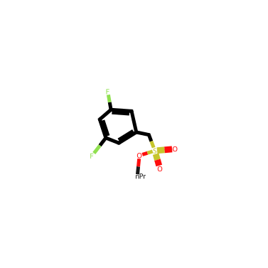 CCCOS(=O)(=O)Cc1cc(F)cc(F)c1